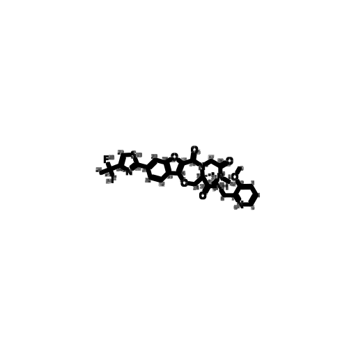 COc1cccnc1CNC(=O)[C@@]1(C)COc2c(oc3cc(-c4nc(C(C)(F)F)cs4)ccc23)C(=O)N1CC(=O)N(C)C